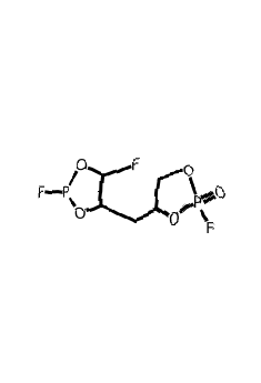 O=P1(F)OCC(CC2OP(F)OC2F)O1